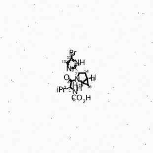 CC(C)[C@H](NC(=O)O)C(=O)N1[C@H](c2ncc(Br)[nH]2)C[C@@H]2C[C@@H]21